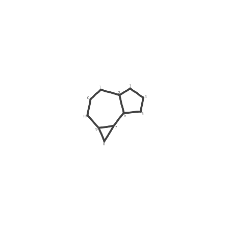 C1CC2CCCC2C2CC2C1